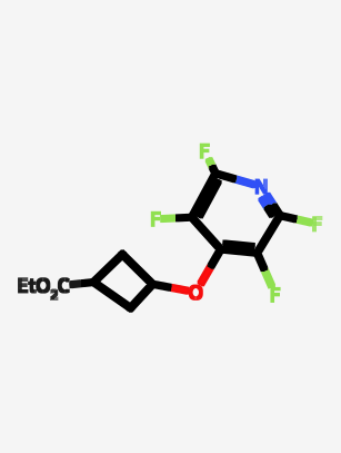 CCOC(=O)C1CC(Oc2c(F)c(F)nc(F)c2F)C1